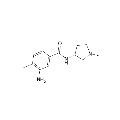 Cc1ccc(C(=O)N[C@@H]2CCN(C)C2)cc1N